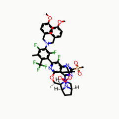 COc1ccc(CN(Cc2ccc(OC)cc2)c2c(F)c(C)c(C(F)(F)F)c(-c3nc4c5c(nc(S(C)(=O)=O)nc5c3F)N3C[C@H]5CC[C@@H]([C@H]3[C@H](C)O4)N5C(=O)OC(C)(C)C)c2F)cc1